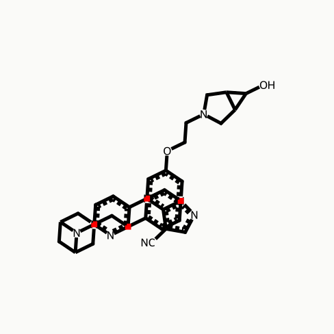 N#Cc1cnn2cc(OCCN3CC4C(O)C4C3)cc(-c3ccc(N4C5CC4CN(CCc4ccccn4)C5)nc3)c12